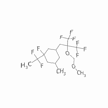 COCOC(CC1CC(C)CC(F)(C(C)(F)F)C1)(C(F)(F)F)C(F)(F)F